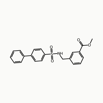 COC(=O)c1cccc(CNS(=O)(=O)c2ccc(-c3ccccc3)cc2)c1